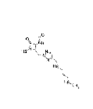 CNCCCNCc1cnn(CC2C(NC=O)C(=O)N2S)n1